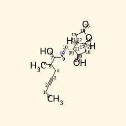 CCC#CCC(C)C(O)/C=C/[C@@H]1[C@H]2CC(=O)O[C@H]2C[C@H]1O